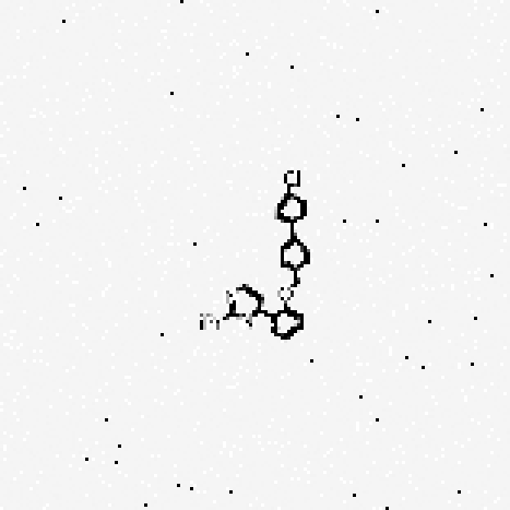 CC(C)c1nccc(-c2ccccc2OCc2ccc(-c3ccc(Cl)cc3)cc2)n1